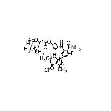 CC(=O)OC(CC(=O)OC1C=CC(Nc2cc(-n3nc(C)c4c3CC(C)(C)CC4=O)cc(F)c2C(N)=O)C1)C[N+](C)(C)C.[Cl-]